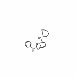 c1ccc(Nc2nc3cccc(N[C@H]4CCCNC4)n3n2)cc1